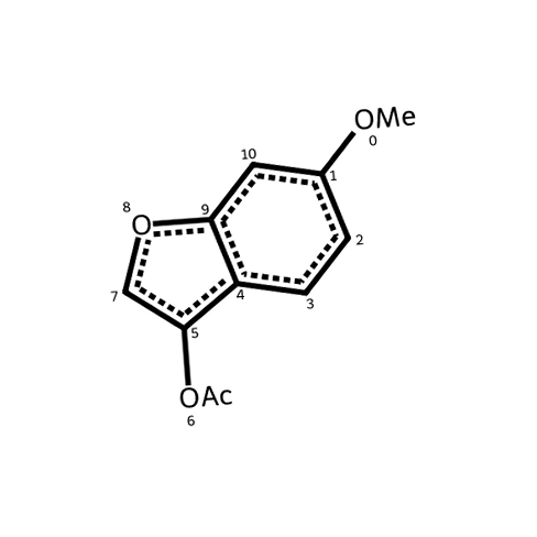 COc1ccc2c(OC(C)=O)coc2c1